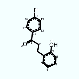 O=C(CCc1ccccc1O)c1ccc(I)cc1